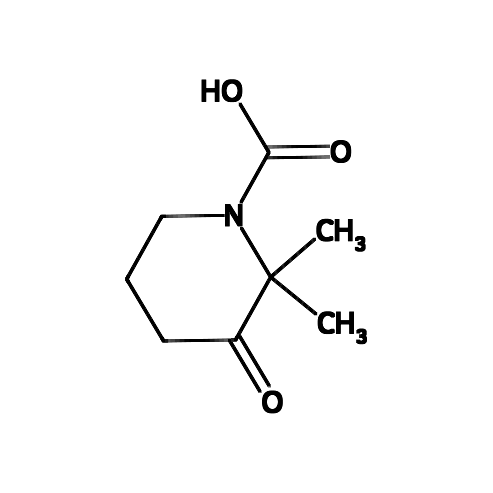 CC1(C)C(=O)CCCN1C(=O)O